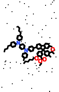 CCCCCCOc1ccc(C2(c3ccc(C)c(C(C)=O)c3)c3cc(C)ccc3-c3ccc(-c4ccc(N(c5ccc(C)cc5)c5ccc(N(c6ccc(CCCC)cc6)c6ccc(CCCC)cc6)cc5)cc4)cc32)cc1C(=O)OCC